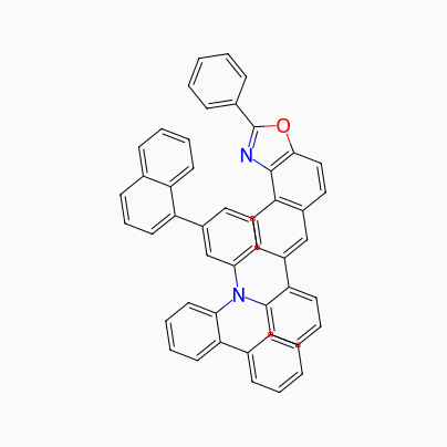 c1ccc(-c2nc3c(ccc4cc(-c5ccccc5N(c5cccc(-c6cccc7ccccc67)c5)c5ccccc5-c5ccccc5)ccc43)o2)cc1